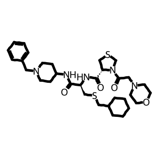 O=C(NC1CCN(Cc2ccccc2)CC1)[C@H](CSCC1CCCCC1)NC(=O)[C@@H]1CSCN1C(=O)CN1CCOCC1